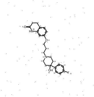 O=C1CCc2ccc(OCCCN3CCC(O)(c4ccc(F)cc4)CC3)cc2N1